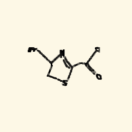 CC(C)C1CSC(C(=O)Cl)=N1